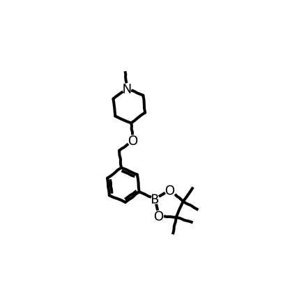 CN1CCC(OCc2cccc(B3OC(C)(C)C(C)(C)O3)c2)CC1